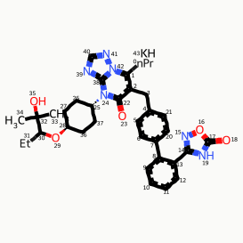 CCCc1c(Cc2ccc(-c3ccccc3-c3noc(=O)[nH]3)cc2)c(=O)n([C@H]2CC[C@H](OC(CC)C(C)(C)O)CC2)c2ncnn12.[KH]